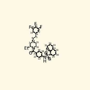 CC[C@H]1CN(CCc2cc(F)c(F)c(F)c2)CCN1C(=O)c1ccc(NS(=O)(=O)c2cccc3cccnc23)cc1